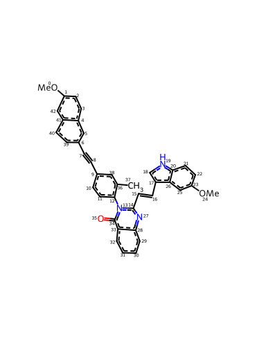 COc1ccc2cc(C#Cc3ccc(-n4c(/C=C/c5c[nH]c6ccc(OC)cc56)nc5ccccc5c4=O)c(C)c3)ccc2c1